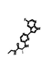 CCNC(=O)[C@@H](C)Nc1ccnc(-c2c[nH]c3ncc(F)cc23)n1